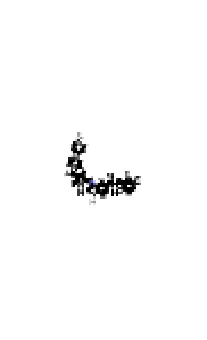 Cc1[nH]c(/C=C2\C(=O)Nc3ccc(C(=O)NCc4c(F)ccc(Cl)c4F)cc32)c(C)c1C(=O)N1CCN(C2CCN(C)CC2)CC1